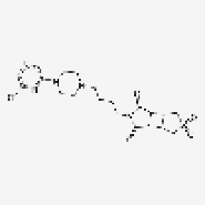 O=C1C2C3CS(=O)(=O)CC3C2C(=O)N1CCCCN1CCN(c2cncc(Cl)n2)CC1